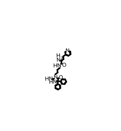 N=C1NC(c2ccccc2)(c2ccccc2)C(=O)N1CCCCNC(=O)[C@@H](N)CCc1cccnc1